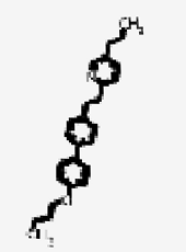 CCCCOc1ccc(-c2ccc(CCc3ccc(CCC)cn3)cc2)cc1